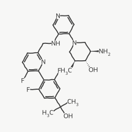 C[C@H]1CN(c2ccncc2NCc2ccc(F)c(-c3c(F)cc(C(C)(C)O)cc3F)n2)C[C@@H](N)[C@@H]1O